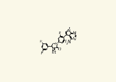 CCN1C(=O)N(c2ccc(-c3cn(C)c4ncnc(N)c34)c(F)c2)CC1c1cc(F)cc(F)c1